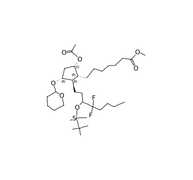 CCCCC(F)(F)C(CC[C@@H]1[C@@H](CCCCCCC(=O)OC)[C@@H](OC(C)=O)C[C@H]1OC1CCCCO1)O[Si](C)(C)C(C)(C)C